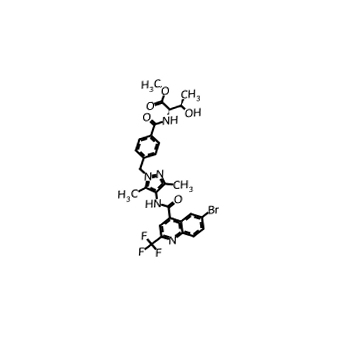 COC(=O)[C@@H](NC(=O)c1ccc(Cn2nc(C)c(NC(=O)c3cc(C(F)(F)F)nc4ccc(Br)cc34)c2C)cc1)[C@@H](C)O